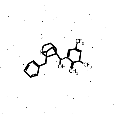 C=C1C(C(O)C2C3CCN(CC3)C2Cc2ccccc2)=CC(C(F)(F)F)=CC1C(F)(F)F